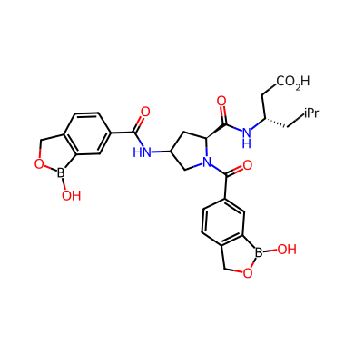 CC(C)C[C@@H](CC(=O)O)NC(=O)[C@@H]1CC(NC(=O)c2ccc3c(c2)B(O)OC3)CN1C(=O)c1ccc2c(c1)B(O)OC2